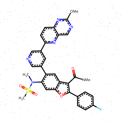 CNC(=O)c1c(-c2ccc(F)cc2)oc2cc(N(C)S(C)(=O)=O)c(-c3cncc(-c4ccc5nc(OC)ncc5n4)c3)cc12